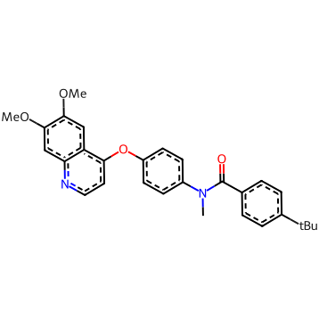 COc1cc2nccc(Oc3ccc(N(C)C(=O)c4ccc(C(C)(C)C)cc4)cc3)c2cc1OC